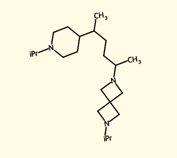 CC(CCC(C)N1CC2(CN(C(C)C)C2)C1)C1CCN(C(C)C)CC1